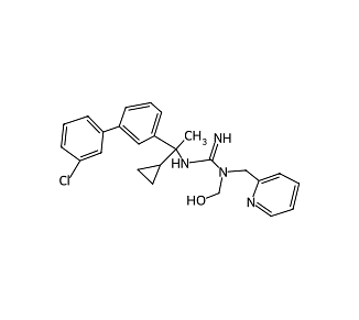 CC(NC(=N)N(CO)Cc1ccccn1)(c1cccc(-c2cccc(Cl)c2)c1)C1CC1